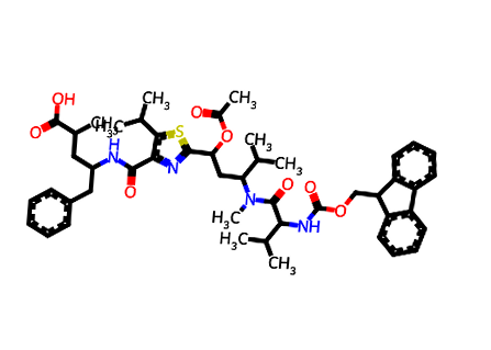 CC(=O)OC(CC(C(C)C)N(C)C(=O)C(NC(=O)OCC1c2ccccc2-c2ccccc21)C(C)C)c1nc(C(=O)NC(Cc2ccccc2)CC(C)C(=O)O)c(C(C)C)s1